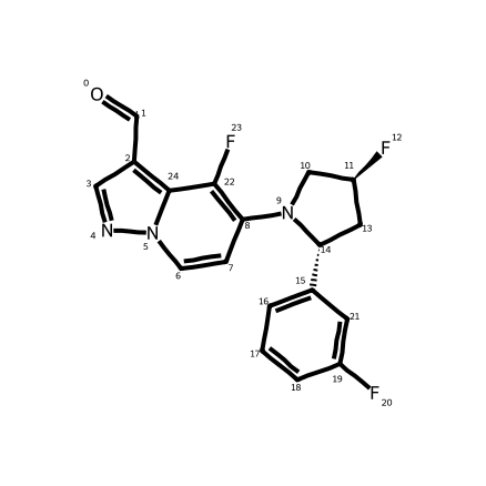 O=[C]c1cnn2ccc(N3C[C@@H](F)C[C@@H]3c3cccc(F)c3)c(F)c12